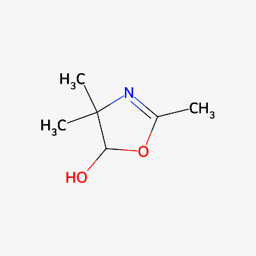 CC1=NC(C)(C)C(O)O1